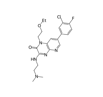 CCOCCn1c(=O)c(NCCN(C)C)nc2ncc(-c3ccc(F)c(Cl)c3)cc21